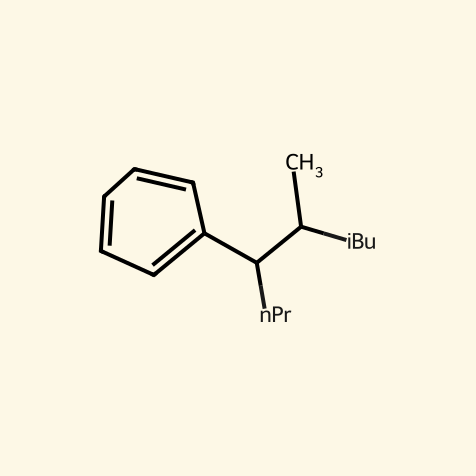 [CH2]CCC(c1ccccc1)C(C)C(C)CC